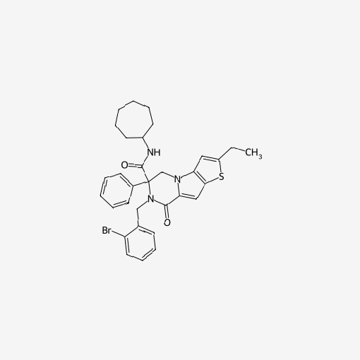 CCc1cc2c(cc3n2CC(C(=O)NC2CCCCCC2)(c2ccccc2)N(Cc2ccccc2Br)C3=O)s1